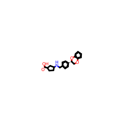 O=C(O)C1CCC(NCc2ccc([C@H]3COc4ccccc4O3)cc2)C1